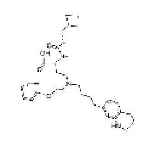 O=C(N[C@@H](CCN(CCCCc1ccc2c(n1)NCCC2)CCOc1ccccc1)C(=O)O)OCC1CCC1